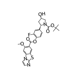 COc1cc2c(cc1C(=O)Oc1ccc([C@H]3C[C@@H](O)CN3C(=O)OC(C)(C)C)cc1F)sc1nccn12